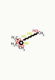 COC1=C(OC)[C@H](OC(C)=O)[C@H](C/C=C(\S)CC/C=C(\S)C/C=C/[C@@H](C)O)[C@@H](S)C1=O